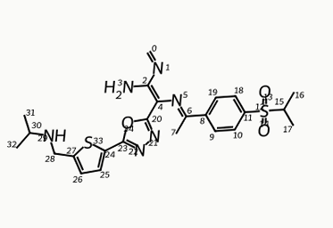 C=N/C(N)=C(\N=C(/C)c1ccc(S(=O)(=O)C(C)C)cc1)c1nnc(-c2ccc(CNC(C)C)s2)o1